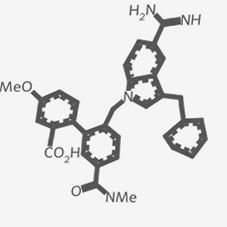 CNC(=O)c1ccc(Cn2cc(Cc3ccccc3)c3cc(C(=N)N)ccc32)c(-c2ccc(OC)cc2C(=O)O)c1